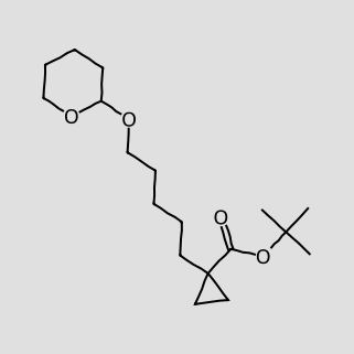 CC(C)(C)OC(=O)C1(CCCCCOC2CCCCO2)CC1